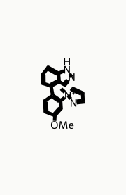 COc1ccc(-c2cccc3[nH]ncc23)c([N+]2(C)C=CC=N2)c1